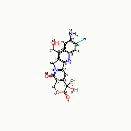 CC[C@@]1(O)C(=O)OCc2c1cc1n(c2=O)Cc2c-1nc1cc(F)c(N)cc1c2CO